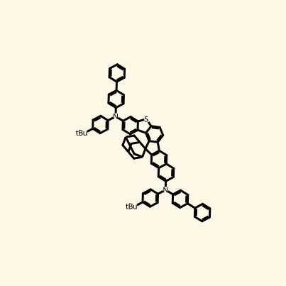 CC(C)(C)c1ccc(N(c2ccc(-c3ccccc3)cc2)c2ccc3cc4c(cc3c2)C2(c3c-4ccc4sc5cc(N(c6ccc(-c7ccccc7)cc6)c6ccc(C(C)(C)C)cc6)ccc5c34)C3CC4CC(C3)CC2C4)cc1